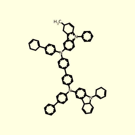 CC1C=Cc2c(c3cc(N(c4ccc(C5=CC=CCC5)cc4)c4ccc(-c5ccc(N(c6ccc(-c7ccccc7)cc6)c6ccc7c(c6)C6C=CC=CC6N7C6=CC=CCC6)cc5)cc4)ccc3n2-c2ccccc2)C1